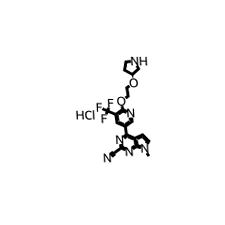 Cl.Cn1ccc2c(-c3cnc(OCCO[C@@H]4CCNC4)c(C(F)(F)F)c3)nc(C#N)nc21